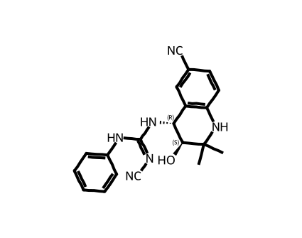 CC1(C)Nc2ccc(C#N)cc2[C@@H](NC(=NC#N)Nc2ccccc2)[C@@H]1O